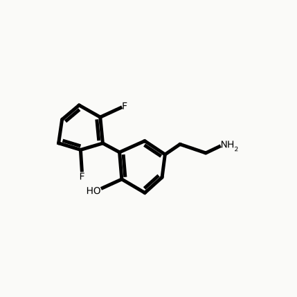 NCCc1ccc(O)c(-c2c(F)cccc2F)c1